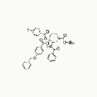 CC(C)(C)OC(=O)N1CCC[C@](OC(=O)c2ccc(F)cc2)(OC(=O)c2ccc(OCc3ccccc3)cc2)[C@H](NC(=O)c2ccccc2)C1